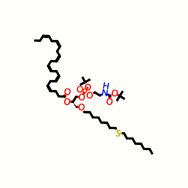 CC/C=C\C/C=C\C/C=C\C/C=C\C/C=C\C/C=C\CCC(=O)O[C@@H](COCCCCCCCCSCCCCCCCC)COP(=O)(OCCNC(=O)OC(C)(C)C)OC(C)(C)C